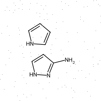 Nc1cc[nH]n1.c1cc[nH]c1